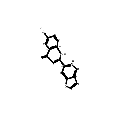 C=C1C=C(c2cc3sccc3cn2)Oc2ccc(O)cc21